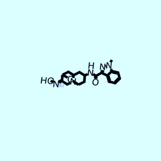 Cn1nc(C(=O)NC2CC3CC4CC(C2)N3C/C4=N/O)c2ccccc21